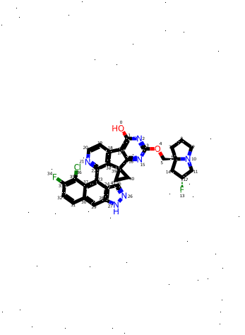 Oc1nc(OC[C@@]23CCCN2C[C@H](F)C3)nc2c1-c1ccnc(-c3c4cn[nH]c4cc4ccc(F)c(Cl)c34)c1C21CC1